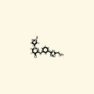 CC(C)Cc1nc(-c2cccc(Cc3nn(-c4cnn(C)c4)ccc3=O)c2)no1